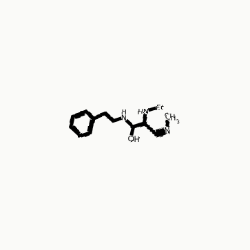 CCNC(/C=N\C)C(O)NCCc1ccccc1